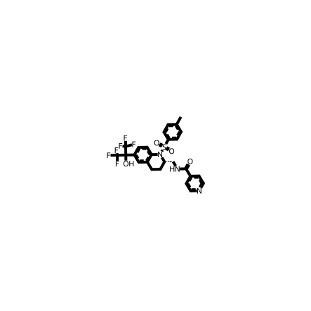 Cc1ccc(S(=O)(=O)N2c3ccc(C(O)(C(F)(F)F)C(F)(F)F)cc3CC[C@H]2CNC(=O)c2ccncc2)cc1